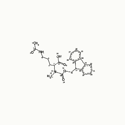 CC(=O)NCCCC(C(=O)O)N(C)C(=O)OCC1c2ccccc2-c2ccccc21